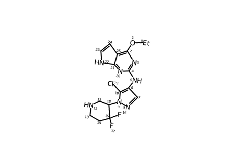 CCOc1nc(Nc2cnn(C3CNCCC3(F)F)c2Cl)nc2[nH]ccc12